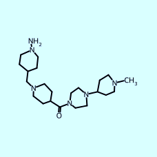 CN1CCC(N2CCN(C(=O)C3CCN(CC4CCN(N)CC4)CC3)CC2)CC1